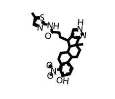 Cc1cnc(NC(=O)CCC2c3c[nH]nc3C3(C)CCC4c5ccc(O)c([N+](=O)[O-])c5CCC4C23)s1